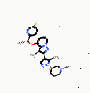 CC(=O)N1CCC[C@H](n2ncc(-c3nn4cccc(O[C@H](C)c5ccc(F)cn5)c4c3C#N)c2C)C1